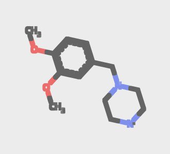 COc1ccc(CN2CC[N]CC2)cc1OC